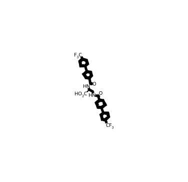 O=C(NC[C@H](NC(=O)c1ccc(-c2ccc(C(F)(F)F)cc2)cc1)C(=O)O)c1ccc(-c2ccc(C(F)(F)F)cc2)cc1